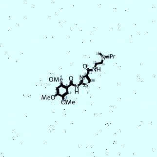 COc1cc(OC)c(C(=O)Nc2nc(C(=O)NCCN(C)C(C)C)cs2)cc1OC